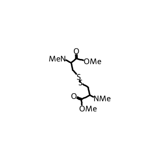 CNC(CSSCC(NC)C(=O)OC)C(=O)OC